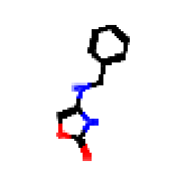 O=c1[nH]c(NCc2ccccc2)co1